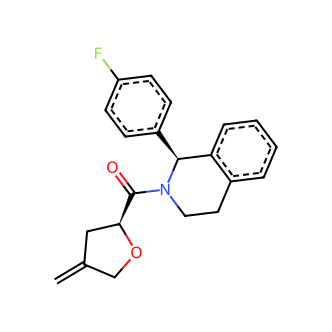 C=C1CO[C@H](C(=O)N2CCc3ccccc3[C@@H]2c2ccc(F)cc2)C1